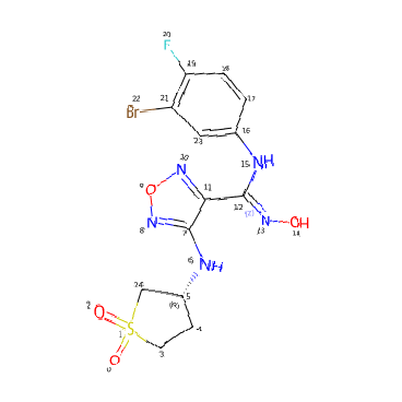 O=S1(=O)CC[C@@H](Nc2nonc2/C(=N/O)Nc2ccc(F)c(Br)c2)C1